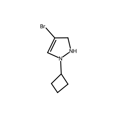 BrC1=CN(C2CCC2)NC1